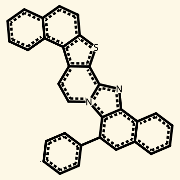 [c]1ccc(-c2cc3ccccc3c3nc4c5sc6ccc7ccccc7c6c5ccn4c23)cc1